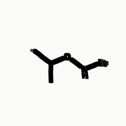 [CH2]C(C)ON[C]C